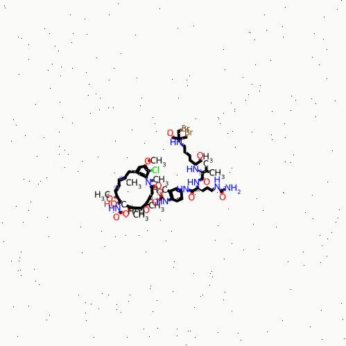 COc1cc2cc(c1Cl)N(C)C(=O)C[C@H](OC(=O)Nc1ccc(NC(=O)[C@H](CCCNC(N)=O)NC(=O)[C@@H](NC(C=O)CCCCNC(C=O)(CBr)CBr)C(C)C)cc1C)[C@]1(C)O[C@H]1[C@H](C)[C@@H]1C[C@@](O)(NC(=O)O1)[C@H](OC)/C=C/C=C(\C)C2